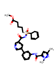 COC(=O)CCCC[S@@](=O)(=NC(=O)c1cncc(-c2cccc(NC(=O)c3cc(C)nn3C)c2)c1)C1C=CC=CC1